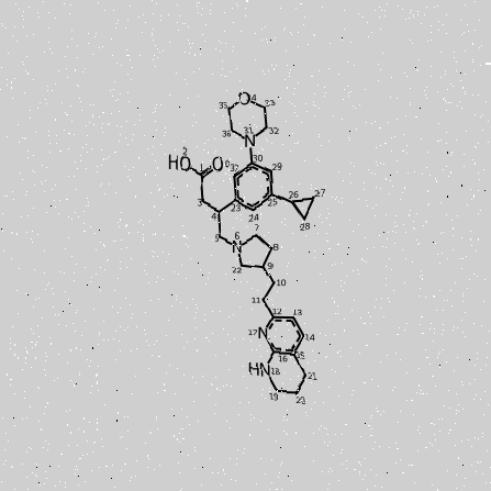 O=C(O)CC(CN1CCC(CCc2ccc3c(n2)NCCC3)C1)c1cc(C2CC2)cc(N2CCOCC2)c1